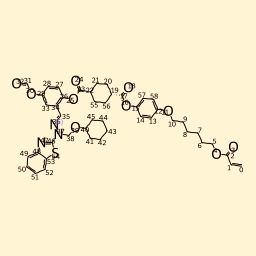 C=CC(=O)OCCCCCCOc1ccc(OC(=O)[C@H]2CC[C@H](C(=O)Oc3ccc(OC=O)cc3/C=N/N(COC3CCCCC3)c3nc4ccccc4s3)CC2)cc1